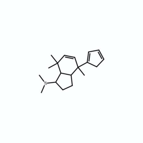 [CH3][Ti]([CH3])[CH]1CCC2C1C(C)(C)C=CC2(C)C1=CC=CC1